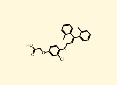 Cc1ccccc1C(=CCSc1ccc(OCC(=O)O)cc1Cl)c1ccccc1C